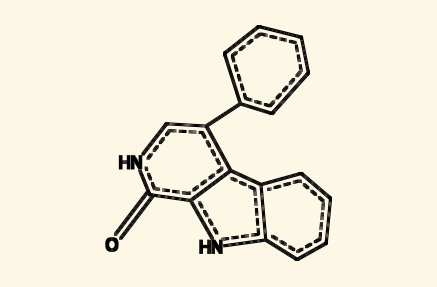 O=c1[nH]cc(-c2ccccc2)c2c1[nH]c1ccccc12